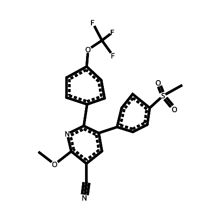 COc1nc(-c2ccc(OC(F)(F)F)cc2)c(-c2ccc(S(C)(=O)=O)cc2)cc1C#N